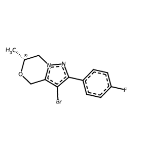 C[C@@H]1Cn2nc(-c3ccc(F)cc3)c(Br)c2CO1